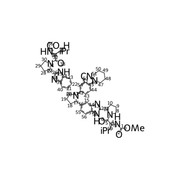 COC(=O)N[C@H](C(=O)N1CCC[C@H]1c1nc2cc(C3CC[C@H](c4ccc5[nH]c([C@@H]6CCCN6C(=O)[C@@H](NC(=O)O)C(C)C)nc5c4)N3c3ccc(N4CCCCC4)c(C#N)c3)ccc2[nH]1)C(C)C